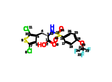 O=C(O)[C@H](Cc1cc(Cl)sc1Cl)NS(=O)(=O)c1ccc(OC(F)(F)F)cc1